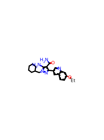 CCOc1ccc2cc(-c3nn(CC4CCCCC4)c(N)c3C(N)=O)cnc2c1